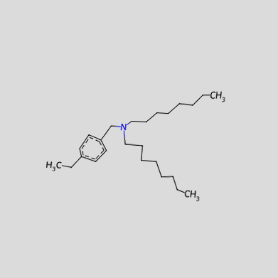 CCCCCCCCN(CCCCCCCC)Cc1ccc(CC)cc1